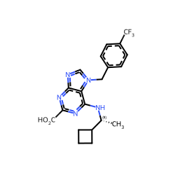 C[C@@H](Nc1nc(C(=O)O)nc2ncn(Cc3ccc(C(F)(F)F)cc3)c12)C1CCC1